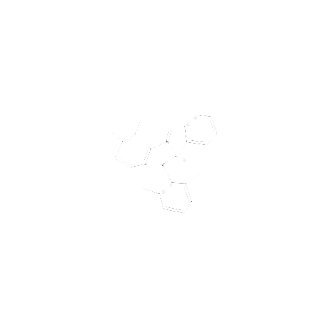 Cc1ccc(Cl)c(C(=O)P(=O)(C(=O)c2c(C)cccc2C)c2ccccc2)c1Cl